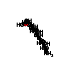 C[C@H](CCC(=O)N[C@@H](CCC(=O)N[C@@H](CCC(=O)NCCOCCOCC(=O)N[C@@H](CCCCNC(=O)c1ccc(N)cc1)C(=O)O)C(=O)O)C(=O)O)[C@H]1CC[C@@H]2C1[C@@H](O)C[C@H]1[C@H]2[C@H](O)C[C@@H]2C[C@H](O)CC[C@@]21C